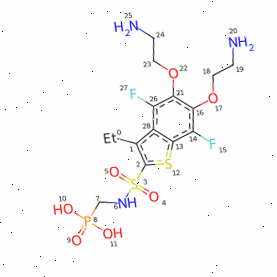 CCc1c(S(=O)(=O)NCP(=O)(O)O)sc2c(F)c(OCCN)c(OCCN)c(F)c12